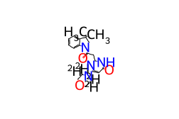 [2H]C1([2H])COCC([2H])([2H])N1c1cc(=O)[nH]c(CC(=O)N2CC(C)(C)c3ccccc32)n1